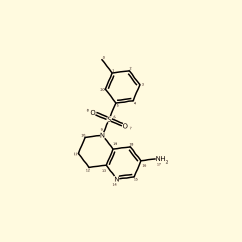 Cc1cccc(S(=O)(=O)N2CCCc3ncc(N)cc32)c1